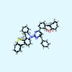 c1ccc(-c2cc(-c3cccc4c3oc3ccccc34)nc(-n3c4ccccc4c4c5sc6ccccc6c5ccc43)n2)cc1